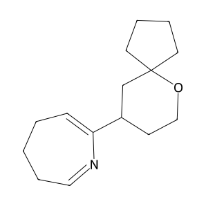 C1=NC(C2CCOC3(CCCC3)C2)=CCCC1